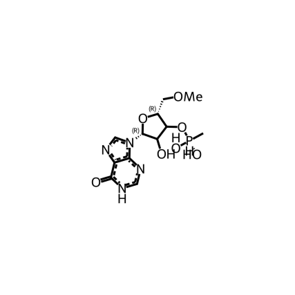 COC[C@H]1O[C@@H](n2cnc3c(=O)[nH]cnc32)C(O)C1O[PH](C)(O)O